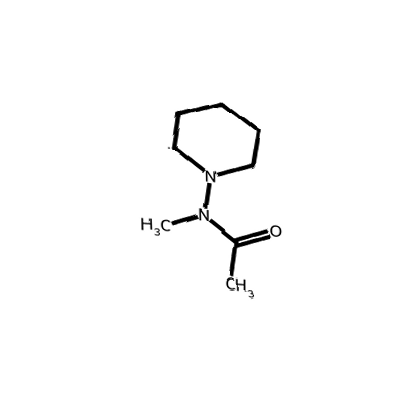 CC(=O)N(C)N1[CH]CCCC1